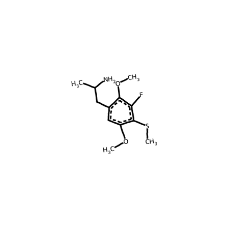 COc1cc(CC(C)N)c(OC)c(F)c1SC